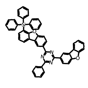 c1ccc(-c2nc(-c3ccc4oc5ccccc5c4c3)nc(-c3ccc4oc5c([Si](c6ccccc6)(c6ccccc6)c6ccccc6)cccc5c4c3)n2)cc1